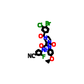 N#Cc1ccc(NC(=O)c2c3n(c(=O)n2-c2ccc(OC4CC4)cc2)CCN(C(=O)c2ccc(Br)c(Cl)c2)C3)c(F)c1